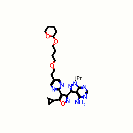 CC(C)n1nc(-c2noc(C3CC3)c2-c2ncc(CCOCCCCOC3CCCCO3)cn2)c2c(N)ncnc21